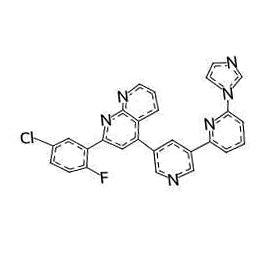 Fc1ccc(Cl)cc1-c1cc(-c2cncc(-c3cccc(-n4ccnc4)n3)c2)c2cccnc2n1